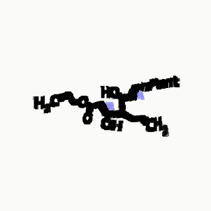 C=CCOC(=O)/C=C(\O)C(CC=C)C(O)/C=C/CCCCC